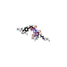 CCCCC[C@@H](C(=O)NCNC(=O)c1ccc(-c2ccc(C(C)C)cc2)o1)[C@@H](CC)N(O)C=O